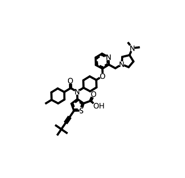 CC1CCC(C(=O)N(c2cc(C#CC(C)(C)C)sc2C(=O)O)C2CCC(Oc3cccnc3CN3CCC(N(C)C)C3)CC2)CC1